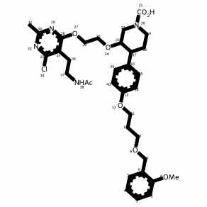 COc1ccccc1COCCCOc1ccc(C2CCN(C(=O)O)CC2OCCOc2nc(C)nc(Cl)c2CCNC(C)=O)cc1